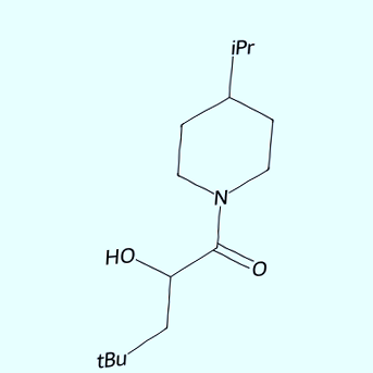 CC(C)C1CCN(C(=O)C(O)CC(C)(C)C)CC1